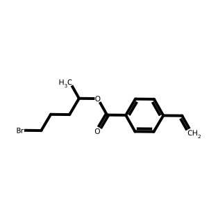 C=Cc1ccc(C(=O)OC(C)CCCBr)cc1